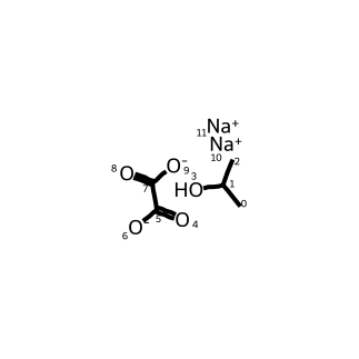 CC(C)O.O=C([O-])C(=O)[O-].[Na+].[Na+]